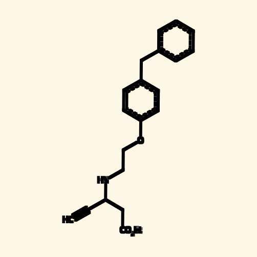 C#CC(CC(=O)OCC)NCCOc1ccc(Cc2ccccc2)cc1